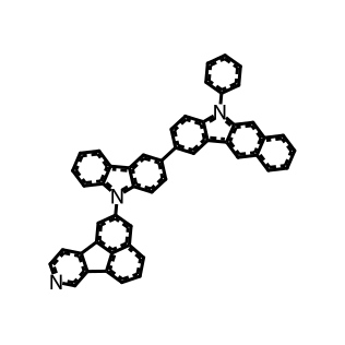 c1ccc(-n2c3ccc(-c4ccc5c(c4)c4ccccc4n5-c4cc5c6c(cccc6c4)-c4cnccc4-5)cc3c3cc4ccccc4cc32)cc1